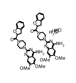 COc1cc2nc(N3CCN(C(=O)C4Cc5ccccc5O4)CC3)nc(N)c2cc1OC.COc1cc2nc(N3CCN(C(=O)C4Cc5ccccc5O4)CC3)nc(N)c2cc1OC.Cl.Cl.O